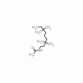 CCC(C)(C)CCCC(C)(C)CCNC(C)=O